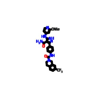 COc1cc(Nc2[nH]nc(-c3ccc(NC(=O)N4CCc5ccc(C(F)(F)F)cc5C4)cc3)c2C(N)=O)ccn1